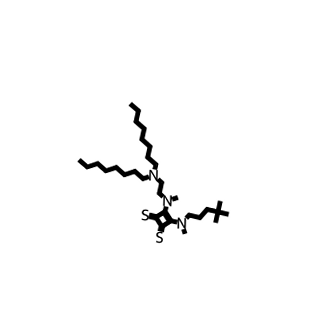 CCCCCCCCN(CCCCCCCC)CCN(C)c1c(N(C)CCCC(C)(C)C)c(=S)c1=S